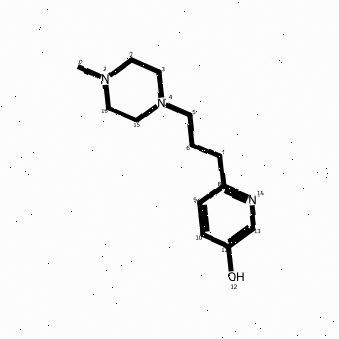 CN1CCN(CCCc2ccc(O)cn2)CC1